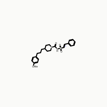 COc1ccc(CCCC2CCN(C(=O)NS(=O)(=O)/C=C/c3ccccc3)CC2)cc1